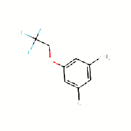 Cc1cc(C)cc(OCC(F)(F)F)c1